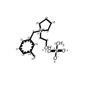 CS(=O)(=O)[O-].OCC[N+]1(Cc2cccc(I)c2)CCCC1